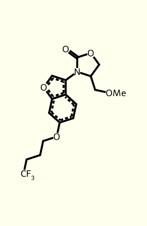 COCC1COC(=O)N1c1coc2cc(OCCCC(F)(F)F)ccc12